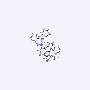 CC1(C)c2ccccc2C2(c3ccccc3-c3c(-c4cc(-c5ccccc5)c5ccccc5n4)cccc32)c2ccccc21